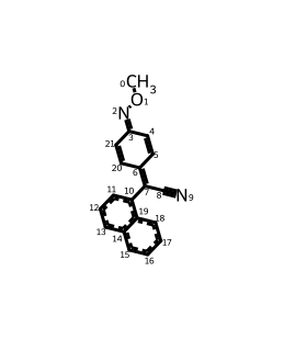 CON=C1C=CC(=C(C#N)c2cccc3ccccc23)C=C1